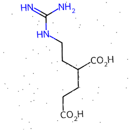 N=C(N)NCCC(CCC(=O)O)C(=O)O